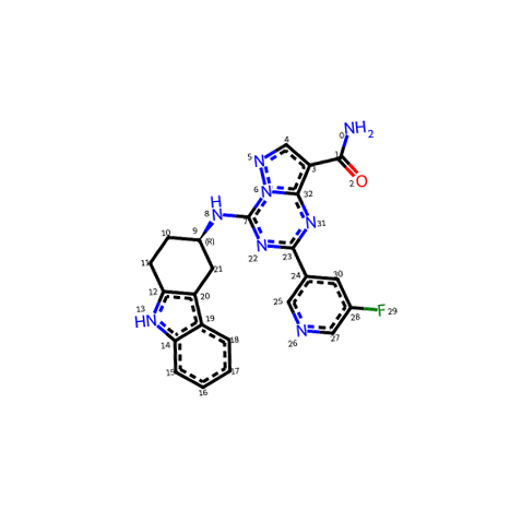 NC(=O)c1cnn2c(N[C@@H]3CCc4[nH]c5ccccc5c4C3)nc(-c3cncc(F)c3)nc12